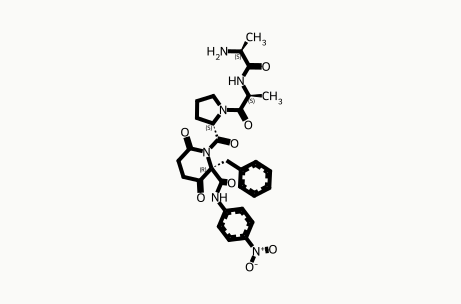 C[C@H](N)C(=O)N[C@@H](C)C(=O)N1CCC[C@H]1C(=O)N1C(=O)CCC(=O)[C@]1(Cc1ccccc1)C(=O)Nc1ccc([N+](=O)[O-])cc1